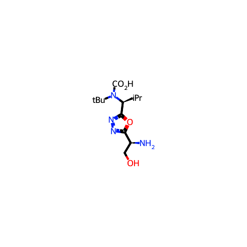 CC(C)[C@@H](c1nnc([C@@H](N)CO)o1)N(C(=O)O)C(C)(C)C